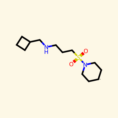 O=S(=O)(CCCNCC1CCC1)N1CC[CH]CC1